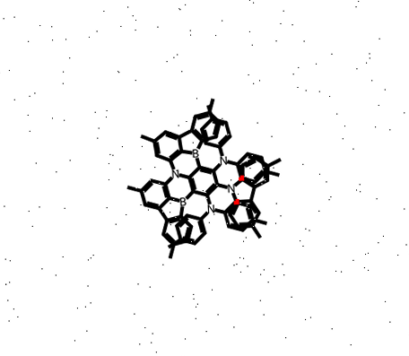 Cc1ccc(N(c2ccc(C)cc2)c2c3c4c(c(N(c5ccc(C)cc5)c5ccc(C)cc5)c2-n2c5ccc(C)cc5c5cc(C)ccc52)B2c5ccc(C)cc5-c5cc(C)cc(c52)N4c2cc(C)cc4c2B3c2ccc(C)cc2-4)cc1